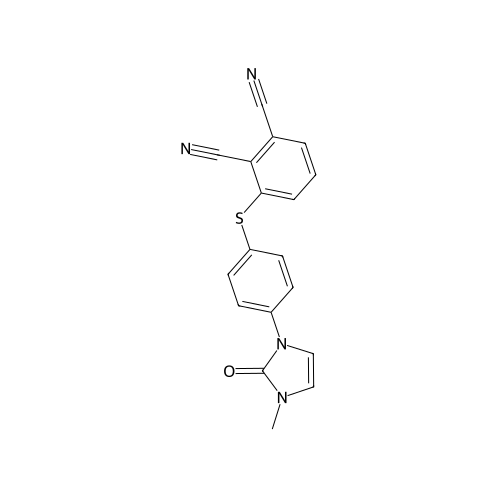 Cn1ccn(-c2ccc(Sc3cccc(C#N)c3C#N)cc2)c1=O